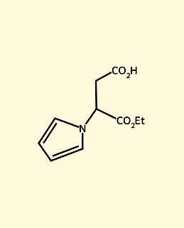 CCOC(=O)C(CC(=O)O)n1cccc1